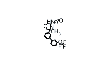 CC1(c2cccc(-c3cccc(OC(F)(F)F)c3)c2)COCC(NOC=O)=N1